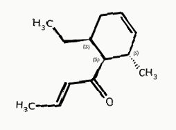 CC=CC(=O)[C@H]1[C@@H](CC)CC=C[C@@H]1C